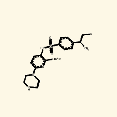 COc1nc(N2CCNCC2)ccc1NS(=O)(=O)c1ccc([C@H](C)CF)cc1